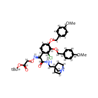 COc1ccc(COc2ccc(/C(=N/OCC(=O)OC(C)(C)C)C(=O)NCC34CCN(CC3)C4)c(Cl)c2OCc2ccc(OC)cc2)cc1